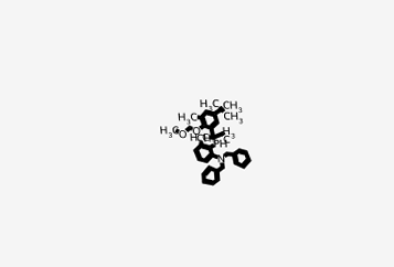 CCC(C)(Pc1c(C)cccc1N(Cc1ccccc1)Cc1ccccc1)c1cc(C(C)(C)C)cc(C)c1OCOC